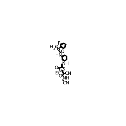 CCn1c(=C(C#N)C(=O)NCC#N)sc(=CNc2cccc(NC(=O)CN(C)c3ccccc3F)c2)c1=O